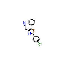 N#CCc1nc(-c2ccc(Cl)cc2)sc1-c1ccccc1